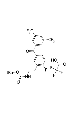 CC(C)(C)OC(=O)NCCc1cc(C(=O)c2cc(C(F)(F)F)cc(C(F)(F)F)c2)ccc1F.O=C(O)C(F)(F)F